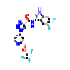 O=C(Nc1c[nH]c2cc(F)c(F)cc12)c1cn(-c2ccnc(COC(F)C(F)F)c2)nn1